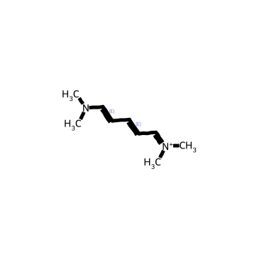 CN(C)/C=C/C=C/C=[N+](C)C